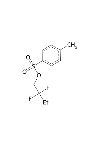 CCC(F)(F)COS(=O)(=O)c1ccc(C)cc1